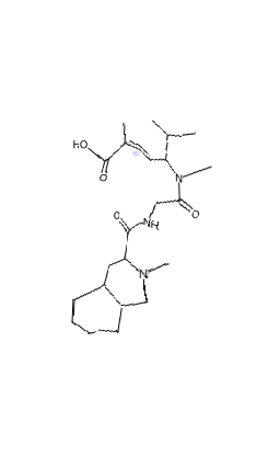 C/C(=C\C(C(C)C)N(C)C(=O)CNC(=O)C1CC2CCCCC2CN1C)C(=O)O